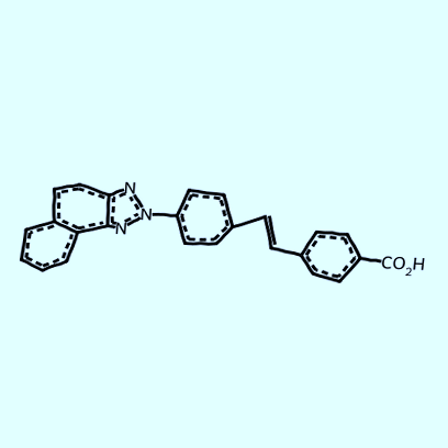 O=C(O)c1ccc(C=Cc2ccc(-n3nc4ccc5ccccc5c4n3)cc2)cc1